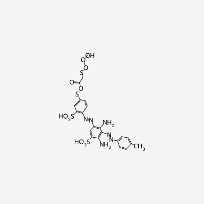 Cc1ccc(N=Nc2c(N)c(N=Nc3ccc(SOC(=O)CSOOO)cc3S(=O)(=O)O)cc(S(=O)(=O)O)c2N)cc1